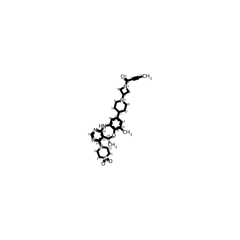 CC#CC(=O)N1CC(N2CCC(c3cc(C)c4c(c3)Nc3ncnc(N5CCS(=O)(=O)CC5)c3[C@@H](C)O4)CC2)C1